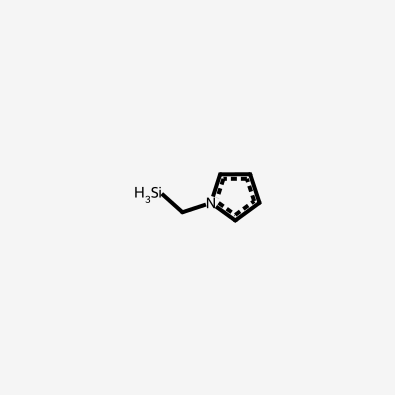 [SiH3]Cn1cccc1